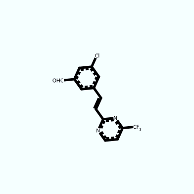 O=Cc1cc(Cl)cc(/C=C/c2nccc(C(F)(F)F)n2)c1